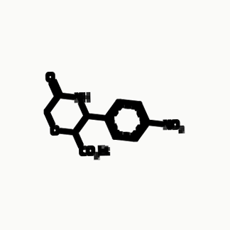 CCOC(=O)C1OCC(=O)NC1c1ccc([N+](=O)[O-])cc1